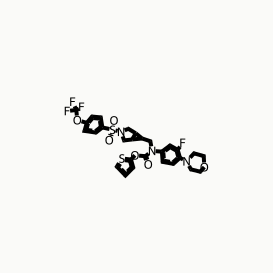 O=C(Oc1cccs1)N(CC1C2CN(S(=O)(=O)c3ccc(OC(F)(F)F)cc3)CC12)c1ccc(N2CCOCC2)c(F)c1